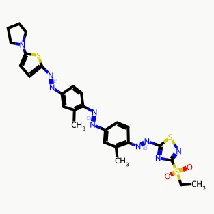 CCS(=O)(=O)c1nsc(/N=N/c2ccc(/N=N/c3ccc(/N=N/c4ccc(N5CCCC5)s4)cc3C)cc2C)n1